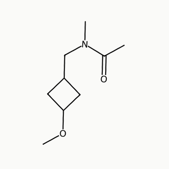 COC1CC(CN(C)C(C)=O)C1